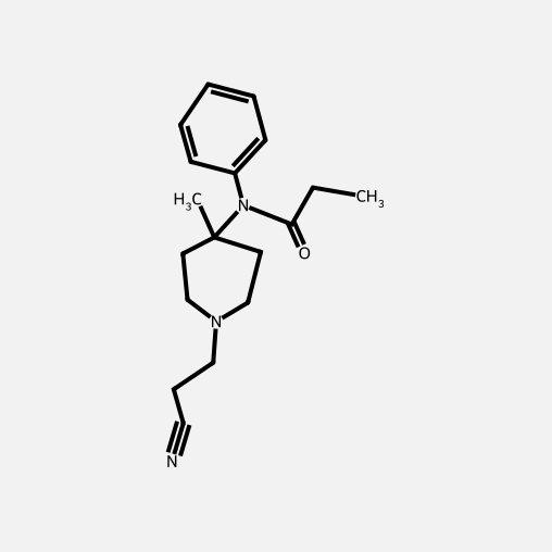 CCC(=O)N(c1ccccc1)C1(C)CCN(CCC#N)CC1